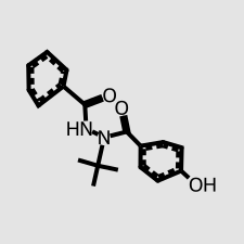 CC(C)(C)N(NC(=O)c1ccccc1)C(=O)c1ccc(O)cc1